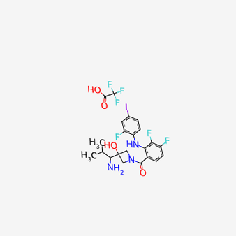 CC(C)C(N)C1(O)CN(C(=O)c2ccc(F)c(F)c2Nc2ccc(I)cc2F)C1.O=C(O)C(F)(F)F